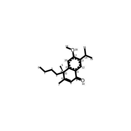 CCCC[C@@]1(C)C(C)=CC(=O)c2cc(C(C)C)c(OC)cc21